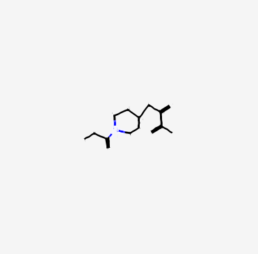 C=C(C)C(=C)CC1CCN(C(=C)CC)CC1